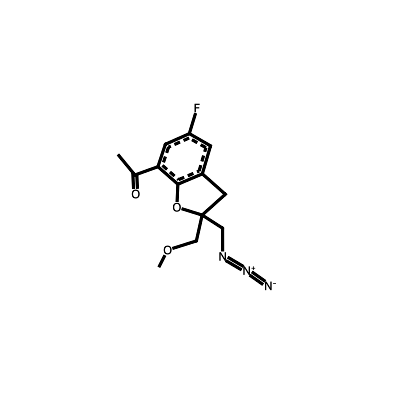 COCC1(CN=[N+]=[N-])Cc2cc(F)cc(C(C)=O)c2O1